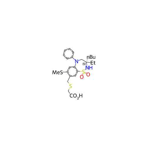 CCCC[C@@]1(CC)CN(c2ccccc2)c2cc(SC)c(CSCC(=O)O)cc2S(=O)(=O)N1